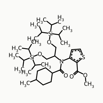 COC(=O)c1sccc1N(C(=O)C1CCC(C)CC1)C(CO[Si](C(C)C)(C(C)C)C(C)C)CO[Si](C(C)C)(C(C)C)C(C)C